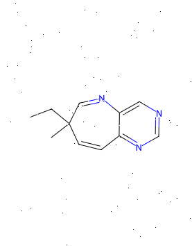 CCC1(C)C=Cc2ncncc2N=C1